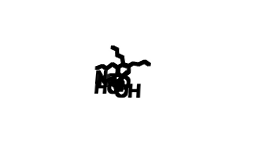 CCCCc1cc[c]([Na])c(CCCC)c1CCCC.O=P(O)(O)O